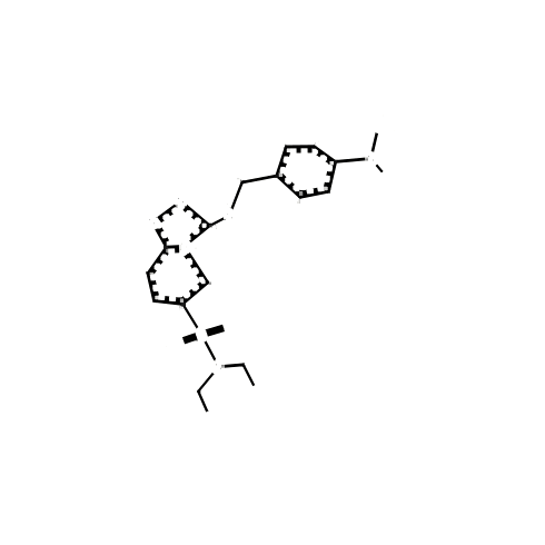 CCN(CC)S(=O)(=O)c1ccc2nnc(NCc3ccc(N(C)C)cc3)n2c1